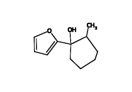 CC1CCCCC1(O)c1ccco1